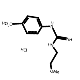 COCCNC(=N)Nc1ccc(C(=O)O)cc1.Cl